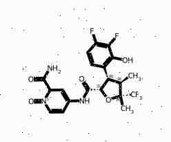 C[C@@H]1[C@H](c2ccc(F)c(F)c2O)[C@@H](C(=O)NC2=CC(C(N)=O)[N+](=O)C=C2)O[C@@]1(C)C(F)(F)F